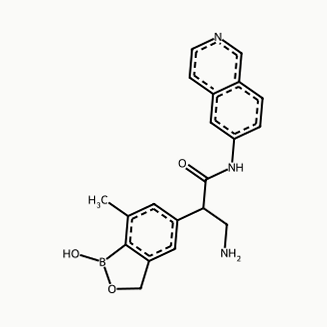 Cc1cc(C(CN)C(=O)Nc2ccc3cnccc3c2)cc2c1B(O)OC2